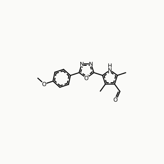 COc1ccc(-c2nnc(-c3[nH]c(C)c(C=O)c3C)o2)cc1